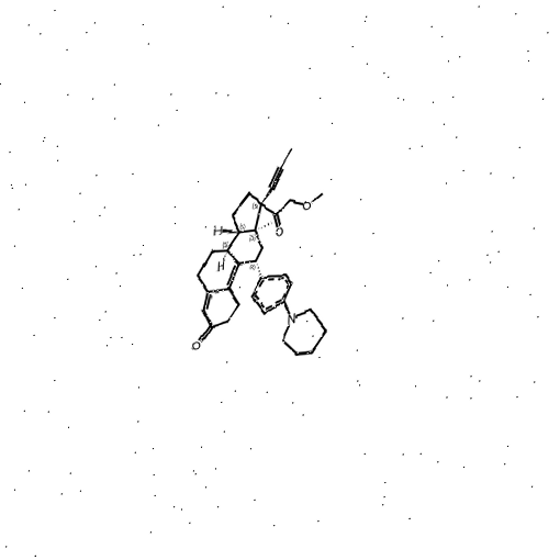 CC#C[C@]1(C(=O)COC)CC[C@H]2[C@@H]3CCC4=CC(=O)CCC4=C3[C@@H](c3ccc(N4CCCCC4)cc3)C[C@@]21C